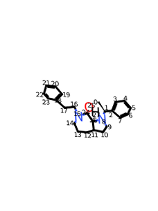 C[C@@H](c1ccccc1)N1CCC2CCCN(CCc3ccccc3)C(=O)[C@H]21